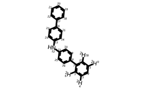 [2H]c1cc([2H])c([2H])c(-c2ccc(Nc3ccc(-c4ccccc4)cc3)cc2)c1[2H]